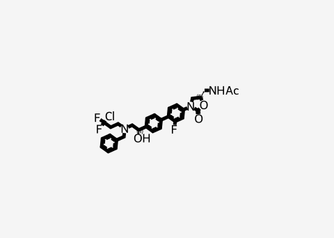 CC(=O)NC[C@H]1CN(c2ccc(-c3ccc([C@H](O)CN(CCC(F)(F)Cl)Cc4ccccc4)cc3)c(F)c2)C(=O)O1